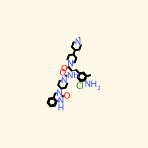 Cc1cc(C[C@@H](NC(=O)N2CCC(N3Cc4ccccc4NC3=O)CC2)C(=O)N2CCC(C3CCN(C)CC3)CC2)cc(Cl)c1N